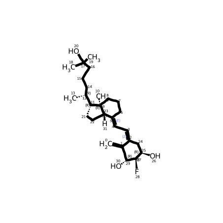 C=C1/C(=C\C=C2/CCC[C@]3(C)[C@@H]([C@H](C)CCCC(C)(C)O)CC[C@@H]23)C[C@@H](O)[C@@H](F)[C@@H]1O